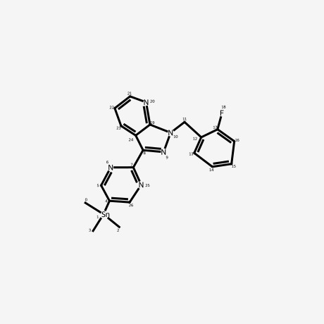 [CH3][Sn]([CH3])([CH3])[c]1cnc(-c2nn(Cc3ccccc3F)c3ncccc23)nc1